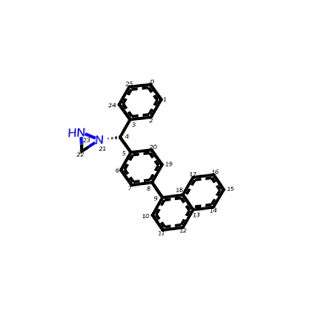 c1ccc(C(c2ccc(-c3cccc4ccccc34)cc2)[N@]2CN2)cc1